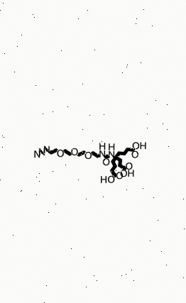 [N-]=[N+]=NCCOCCOCCOCCNC(=O)NC(CCCC(=O)O)(CCCC(=O)O)CCC(=O)O